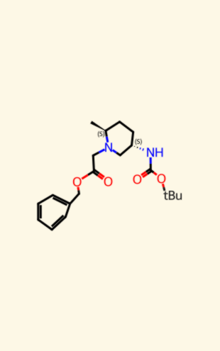 C[C@H]1CC[C@H](NC(=O)OC(C)(C)C)CN1CC(=O)OCc1ccccc1